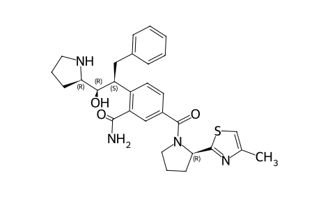 Cc1csc([C@H]2CCCN2C(=O)c2ccc([C@H](Cc3ccccc3)[C@@H](O)[C@H]3CCCN3)c(C(N)=O)c2)n1